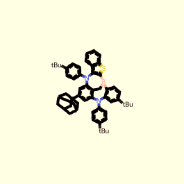 CC(C)(C)c1ccc(N2c3cc(C(C)(C)C)ccc3B3Cc4c2cc(C25CC6CC(CC(C6)C2)C5)cc4N(c2ccc(C(C)(C)C)cc2)c2c3sc3ccccc23)cc1